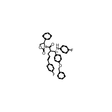 O=C1OCC(c2ccccc2)N1C(=O)C(CC=Cc1ccc(F)cc1)[C@H](Nc1ccc(F)cc1)c1ccc(OCc2ccccc2)cc1